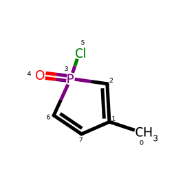 CC1=CP(=O)(Cl)C=C1